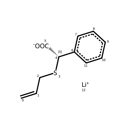 C=CCS[C@H](C(=O)[O-])c1ccccc1.[Li+]